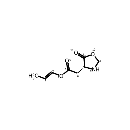 CC=COC(=O)C[C@H]1NCOC1=O